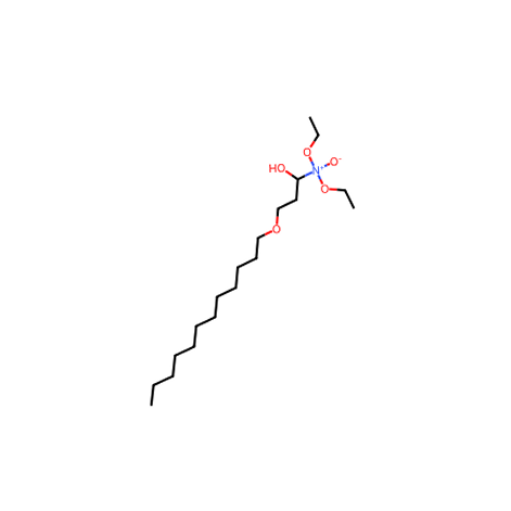 CCCCCCCCCCCCOCCC(O)[N+]([O-])(OCC)OCC